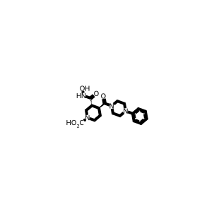 O=C(NO)[C@H]1CN(C(=O)O)CC[C@@H]1C(=O)N1CCN(c2ccccc2)CC1